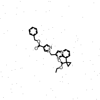 CCOC(=O)C1(c2cccn3cc(Cn4cc(C(=O)OCc5ccccc5)cn4)nc23)CC1